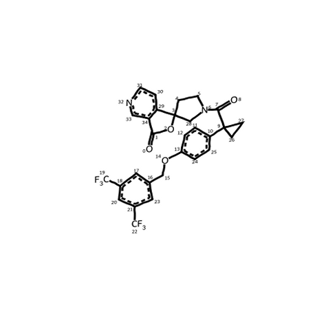 O=C1OC2(CCN(C(=O)C3(c4ccc(OCc5cc(C(F)(F)F)cc(C(F)(F)F)c5)cc4)CC3)C2)c2ccncc21